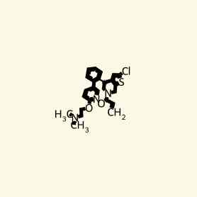 C=CC(=O)N1Cc2sc(Cl)cc2[C@H](c2ccccc2-c2ccc(OCCN(C)C)nc2)C1